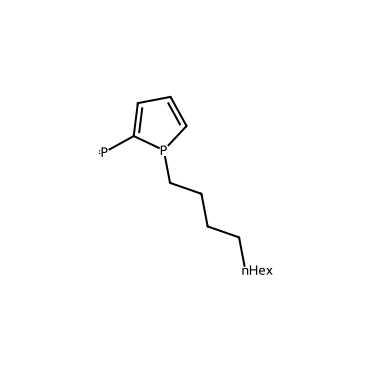 CCCCCCCCCCp1cccc1[P]